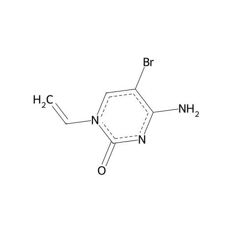 C=Cn1cc(Br)c(N)nc1=O